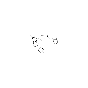 Cc1ccccc1CNC(=O)N1CCN(c2nc(N)nc3ccc(-c4ccc(F)cc4)nc23)CC1